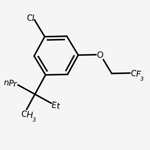 CCCC(C)(CC)c1cc(Cl)cc(OCC(F)(F)F)c1